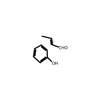 C/C=C/C=O.Oc1ccccc1